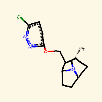 CC(C)[C@@H]1CC2CCC(C1COc1ccc(Cl)nn1)N2C